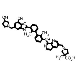 Cc1c(Nc2nccc3cc(CN4CCC(C)(C(=O)O)C4)cnc23)cccc1-c1cccc(-c2nc3cc(CN4CCC(O)C4)cc(C#N)c3o2)c1C